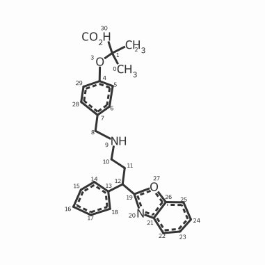 CC(C)(Oc1ccc(CNCCC(c2ccccc2)c2nc3ccccc3o2)cc1)C(=O)O